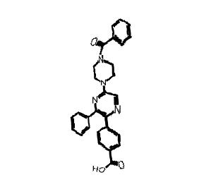 O=C(O)c1ccc(-c2ncc(N3CCN(C(=O)c4ccccc4)CC3)nc2-c2ccccc2)cc1